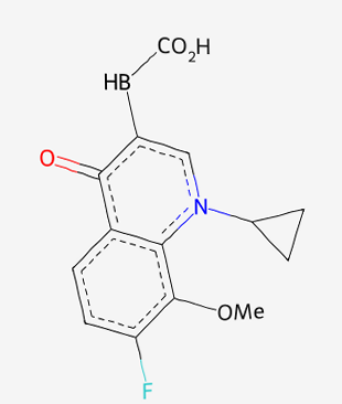 COc1c(F)ccc2c(=O)c(BC(=O)O)cn(C3CC3)c12